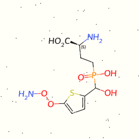 NOOc1ccc(C(O)P(=O)(O)CC[C@H](N)C(=O)O)s1